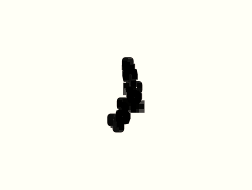 O=C(Nc1ccc2oc(N3CCC4(CC3)COC4)nc2c1)c1ccc2c(c1)OCO2